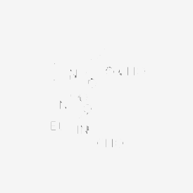 CCC(C(=O)NC(C)C=O)N(C)C(=O)C1CCCN1C(=O)CC(C)OC=O